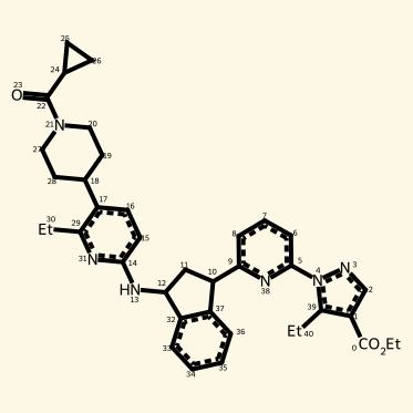 CCOC(=O)c1cnn(-c2cccc(C3CC(Nc4ccc(C5CCN(C(=O)C6CC6)CC5)c(CC)n4)c4ccccc43)n2)c1CC